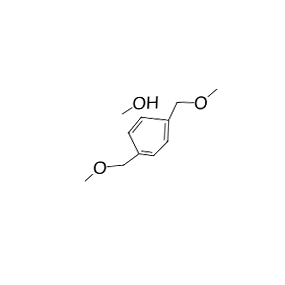 CO.COCc1ccc(COC)cc1